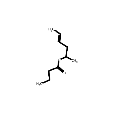 CC=CCC(C)OC(=O)CCC